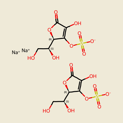 O=C1O[C@H]([C@@H](O)CO)C(OS(=O)(=O)[O-])=C1O.O=C1O[C@H]([C@@H](O)CO)C(OS(=O)(=O)[O-])=C1O.[Na+].[Na+]